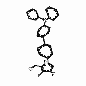 O=Cc1c(F)c(F)cn1-c1ccc(-c2ccc(N(c3ccccc3)c3ccccc3)cc2)cc1